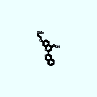 COCCOc1ccc2/c(=N/O)cc(-c3cc4ccccc4cn3)oc2c1